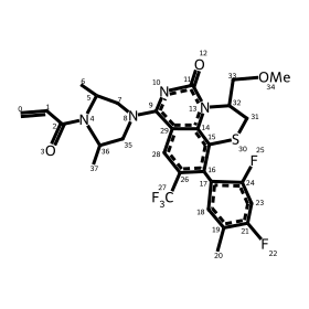 C=CC(=O)N1C(C)CN(c2nc(=O)n3c4c(c(-c5cc(C)c(F)cc5F)c(C(F)(F)F)cc24)SCC3COC)CC1C